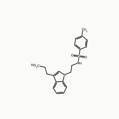 Cc1ccc(S(=O)(=O)NCCn2cc(CCC(=O)O)c3ccccc32)cc1